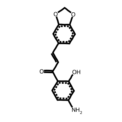 Nc1ccc(C(=O)/C=C/c2ccc3c(c2)OCO3)c(O)c1